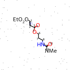 CCOC(=O)/C=C/C(=O)OCCCNC(=O)NC